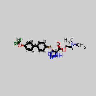 CN(C)CCOC(=O)c1[nH]nnc1Sc1ccc(-c2ccc(OC(F)(F)F)cc2)cc1